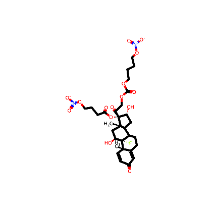 C[C@]12C=CC(=O)C=C1CCC1C3C[C@@H](O)[C@](OC(=O)CCCO[N+](=O)[O-])(C(=O)COC(=O)OCCCCO[N+](=O)[O-])[C@@]3(C)C[C@H](O)[C@@]12F